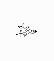 C=CCC(F)(F)c1ccc(Cc2c(Oc3ccc(F)c(C#N)c3)c(F)cc3[nH]ccc23)nc1